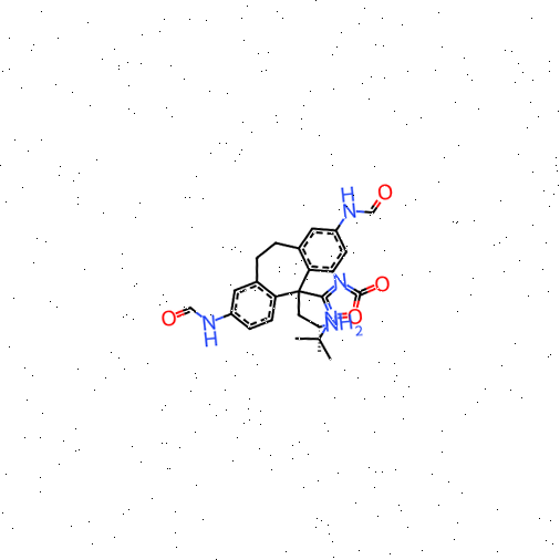 CC(C)n1oc(=O)nc1C1(C[C@@H](C)N)c2ccc(NC=O)cc2CCc2cc(NC=O)ccc21